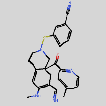 CNC1=C(C=N)CC2(C(=O)c3cc(C)ccn3)CN(Sc3cccc(C#N)c3)CCC2=C1